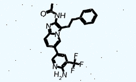 CC(=O)Nc1nc2ccc(-c3cnc(N)c(C(F)(F)F)c3)cn2c1CCc1ccccc1